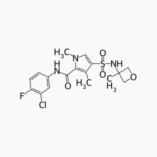 Cc1c(S(=O)(=O)NC2(C)COC2)cn(C)c1C(=O)Nc1ccc(F)c(Cl)c1